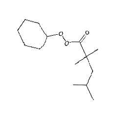 CC(C)CC(C)(C)C(=O)OOC1CCCCC1